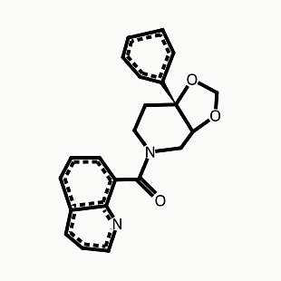 O=C(c1cccc2cccnc12)N1CC[C@]2(c3ccccc3)OCOC2C1